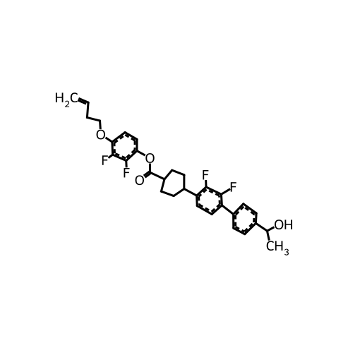 C=CCCOc1ccc(OC(=O)C2CCC(c3ccc(-c4ccc(C(C)O)cc4)c(F)c3F)CC2)c(F)c1F